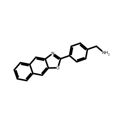 NCc1ccc(-c2nc3cc4ccccc4cc3o2)cc1